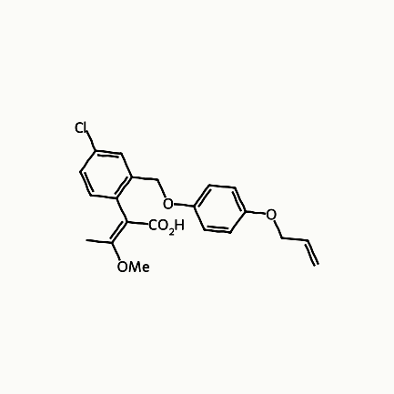 C=CCOc1ccc(OCc2cc(Cl)ccc2C(C(=O)O)=C(C)OC)cc1